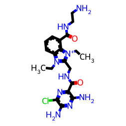 CCn1c(CNC(=O)c2nc(Cl)c(N)nc2N)[n+](CC)c2c(C(=O)NCCN)cccc21